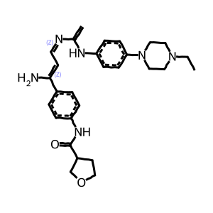 C=C(/N=C\C=C(/N)c1ccc(NC(=O)C2CCOC2)cc1)Nc1ccc(N2CCN(CC)CC2)cc1